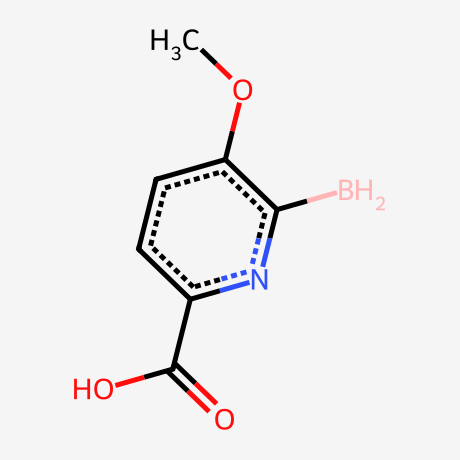 Bc1nc(C(=O)O)ccc1OC